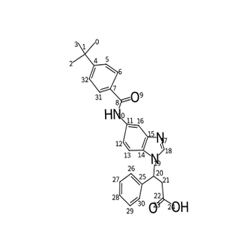 CC(C)(C)c1ccc(C(=O)Nc2ccc3c(c2)ncn3C(CC(=O)O)c2ccccc2)cc1